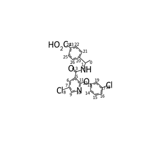 CC(NC(=O)c1cc(Cl)cnc1Oc1cccc(Cl)c1)c1ccc(C(=O)O)cc1